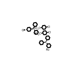 O=C(O)c1ccc(Cl)cc1.O=C(O)c1ccc(Cl)cc1.[C]=O.[Ru].c1ccc(P(c2ccccc2)c2ccccc2)cc1.c1ccc(P(c2ccccc2)c2ccccc2)cc1